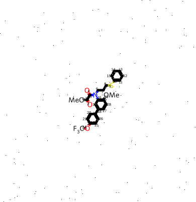 COC(=O)C(=O)N(CCCSc1ccccc1)c1cc(-c2ccc(OC(F)(F)F)cc2)ccc1OC